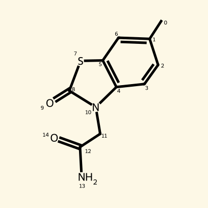 Cc1ccc2c(c1)sc(=O)n2CC(N)=O